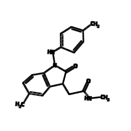 CNC(=O)CC1C(=O)N(Nc2ccc(C)cc2)c2ccc(C)cc21